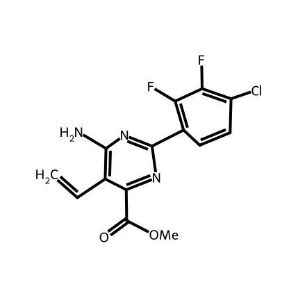 C=Cc1c(N)nc(-c2ccc(Cl)c(F)c2F)nc1C(=O)OC